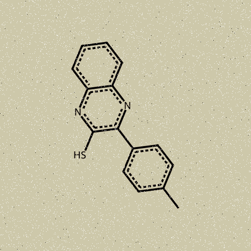 Cc1ccc(-c2nc3ccccc3nc2S)cc1